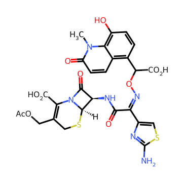 CC(=O)OCC1=C(C(=O)O)N2C(=O)[C@@H](NC(=O)/C(=N\OC(C(=O)O)c3ccc(O)c4c3ccc(=O)n4C)c3csc(N)n3)[C@H]2SC1